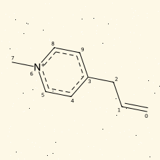 C=CCc1cc[n+](C)cc1